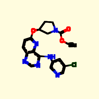 CC(C)(C)OC(=O)N1CC[C@H](Oc2ccc3ncnc(Nc4cncc(Cl)c4)c3n2)C1